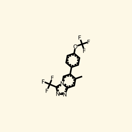 Cc1cc2nnc(C(F)(F)F)n2cc1-c1ccc(OC(F)(F)F)cc1